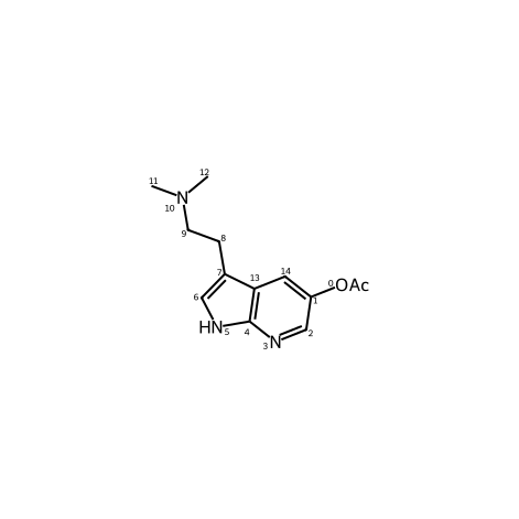 CC(=O)Oc1cnc2[nH]cc(CCN(C)C)c2c1